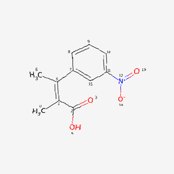 C/C(C(=O)O)=C(\C)c1cccc([N+](=O)[O-])c1